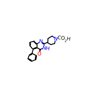 O=C(O)N1CCC(c2nc3cccc(-c4ccccc4)c3c(=O)[nH]2)CC1